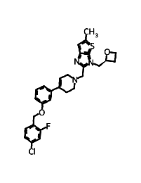 Cc1cc2nc(CN3CC=C(c4cccc(OCc5ccc(Cl)cc5F)c4)CC3)n(C[C@@H]3CCO3)c2s1